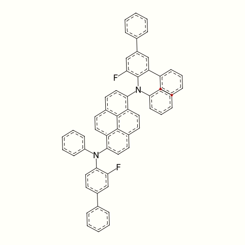 Fc1cc(-c2ccccc2)ccc1N(c1ccccc1)c1ccc2ccc3c(N(c4ccccc4)c4c(F)cc(-c5ccccc5)cc4-c4ccccc4)ccc4ccc1c2c43